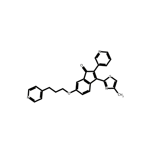 Cc1csc(C2=C(c3cccnc3)C(=O)c3cc(OCCCc4ccncc4)ccc32)n1